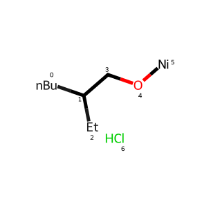 CCCCC(CC)C[O][Ni].Cl